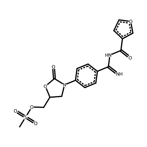 CS(=O)(=O)OCC1CN(c2ccc(C(=N)NC(=O)c3ccoc3)cc2)C(=O)O1